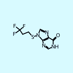 O=c1[nH]cnc2c1ncn2SCCC(F)(F)F